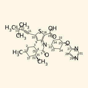 CC1=CC[C@H](C(=O)N(c2cc(C#CC(C)(C)C)sc2C(=O)O)[C@H]2CC[C@H](Oc3ccncn3)CC2)[C@@H](C)C1